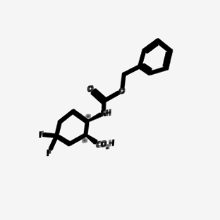 O=C(N[C@@H]1CCC(F)(F)C[C@@H]1C(=O)O)OCc1ccccc1